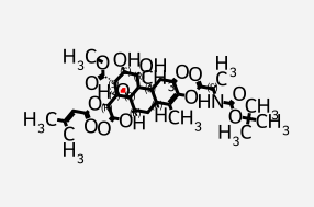 COC(=O)[C@@]12OC[C@]34C([C@@H](O)[C@@H]1O)[C@@]1(C)CC(=O)C(OC(=O)[C@H](C)NC(=O)OC(C)(C)C)=C(C)[C@@H]1C[C@H]3OC(=O)[C@H](OC(=O)C=C(C)C)[C@@H]24